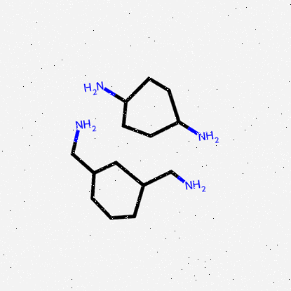 NC1CCC(N)CC1.NCC1CCCC(CN)C1